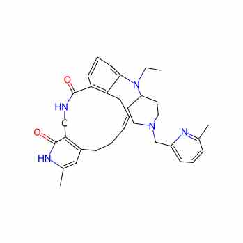 CCN(c1cccc2c1CC=CCCc1cc(C)[nH]c(=O)c1CNC2=O)C1CCN(Cc2cccc(C)n2)CC1